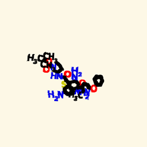 Cc1nc(Oc2ccccc2)ccc1C1(N)C(=O)C(N)c2c(C(=O)N[C@@H]3CCCN(C(=O)OC(C)(C)C)C3)sc3c(N)ccc1c23